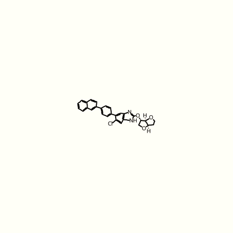 Clc1cc2[nH]c(O[C@@H]3CO[C@@H]4CCO[C@@H]43)nc2cc1-c1ccc(-c2ccc3ccccc3c2)cc1